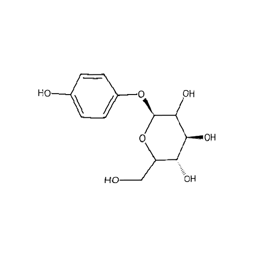 OCC1O[C@@H](Oc2ccc(O)cc2)C(O)[C@@H](O)[C@@H]1O